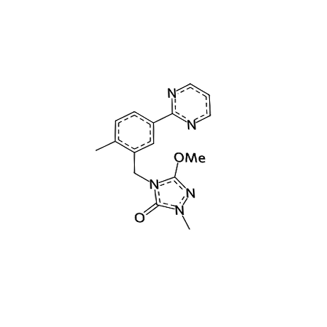 COc1nn(C)c(=O)n1Cc1cc(-c2ncccn2)ccc1C